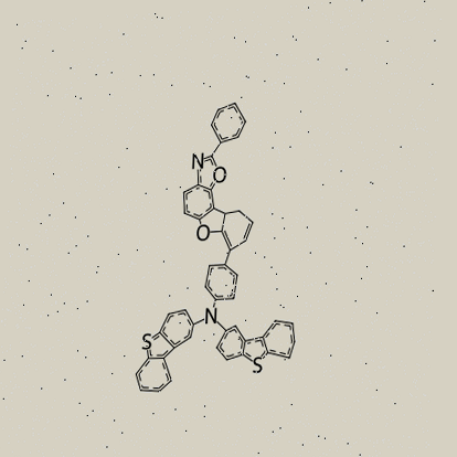 C1=CC(c2ccc(N(c3ccc4sc5ccccc5c4c3)c3ccc4sc5ccccc5c4c3)cc2)=C2Oc3ccc4nc(-c5ccccc5)oc4c3C2C1